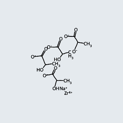 CC(O)C(=O)[O-].CC(O)C(=O)[O-].CC(O)C(=O)[O-].CC([O-])C(=O)[O-].[Na+].[Zr+4]